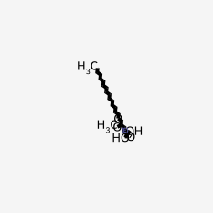 CCCCCCCCCCCCCCCCOCC(/C=C/P(=O)(O)O)OC